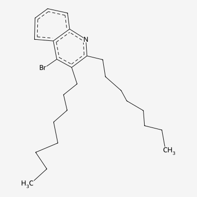 CCCCCCCCc1nc2ccccc2c(Br)c1CCCCCCCC